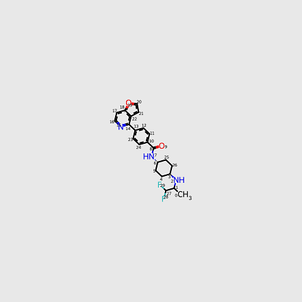 CC(N[C@H]1CC[C@H](NC(=O)c2ccc(-c3nccc4occc34)cc2)CC1)C(F)F